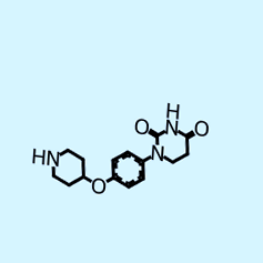 O=C1CCN(c2ccc(OC3CCNCC3)cc2)C(=O)N1